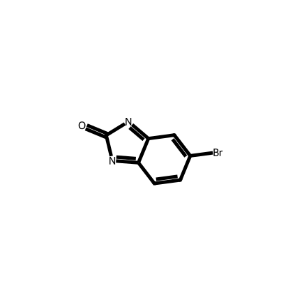 O=C1N=c2ccc(Br)cc2=N1